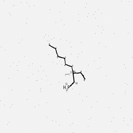 CCCCCC[C@@](C)(CC)CP